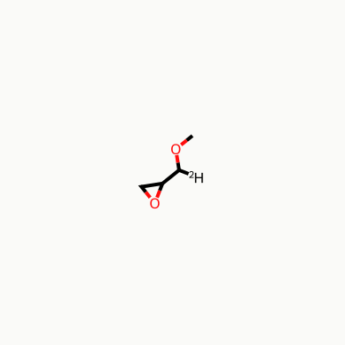 [2H]C(OC)C1CO1